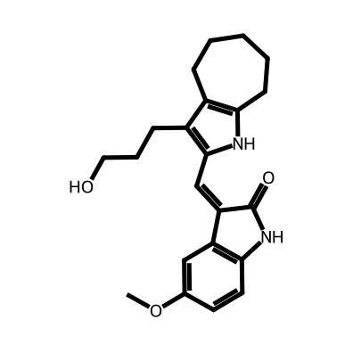 COc1ccc2c(c1)/C(=C/c1[nH]c3c(c1CCCO)CCCCC3)C(=O)N2